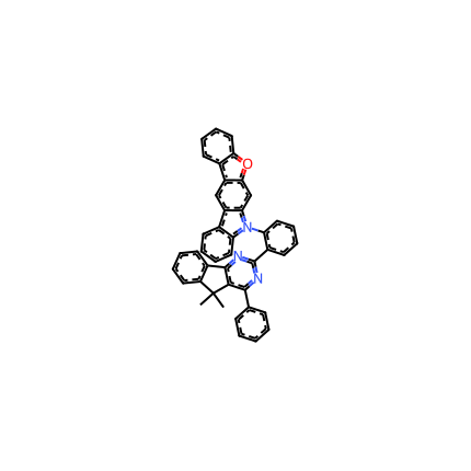 CC1(C)c2ccccc2-c2nc(-c3ccccc3-n3c4ccccc4c4cc5c(cc43)oc3ccccc35)nc(-c3ccccc3)c21